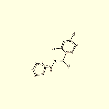 Fc1cc(Cl)ccc1C(Cl)=NNc1ccccc1